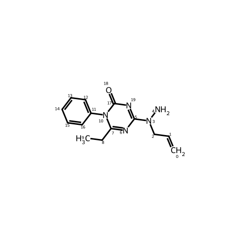 C=CCN(N)c1nc(CC)n(-c2ccccc2)c(=O)n1